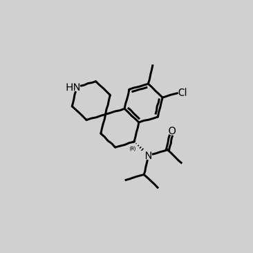 CC(=O)N(C(C)C)[C@@H]1CCC2(CCNCC2)c2cc(C)c(Cl)cc21